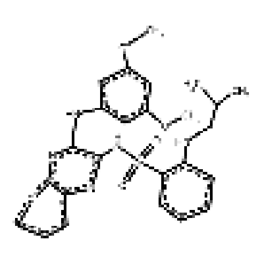 COc1cc(Nc2nc3ccccc3nc2NS(=O)(=O)c2ccccc2NCC(C)C)cc(OC)c1